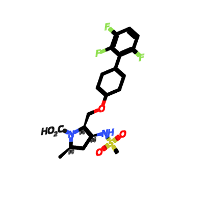 C[C@@H]1C[C@H](NS(C)(=O)=O)[C@H](COC2CCC(c3c(F)ccc(F)c3F)CC2)N1C(=O)O